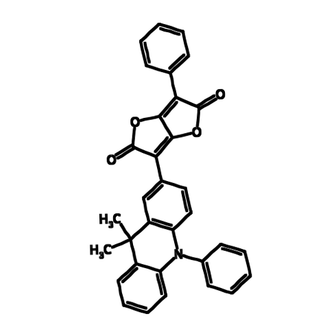 CC1(C)c2ccccc2N(c2ccccc2)c2ccc(C3=C4OC(=O)C(c5ccccc5)=C4OC3=O)cc21